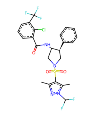 Cc1nn(C(F)F)c(C)c1S(=O)(=O)N1C[C@H](NC(=O)c2cccc(C(F)(F)F)c2Cl)[C@@H](c2ccccc2)C1